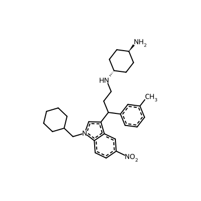 Cc1cccc(C(CCN[C@H]2CC[C@H](N)CC2)c2cn(CC3CCCCC3)c3ccc([N+](=O)[O-])cc23)c1